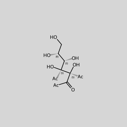 CC(=O)C(=O)[C@@](O)(C(C)=O)[C@](O)(C(C)=O)[C@@H](O)[C@H](O)CO